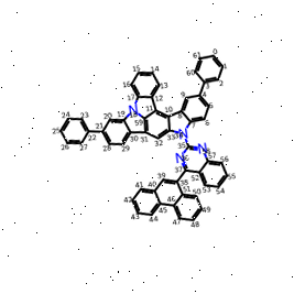 c1ccc(-c2ccc3c(c2)c2c4c5ccccc5n5c6cc(-c7ccccc7)ccc6c(cc2n3-c2nc(-c3cc6ccccc6c6ccccc36)c3ccccc3n2)c45)cc1